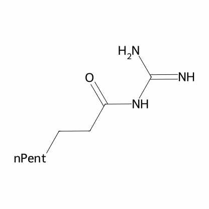 CCCCCCCC(=O)NC(=N)N